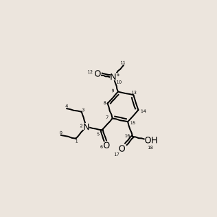 CCN(CC)C(=O)c1cc([N+](C)=O)ccc1C(=O)O